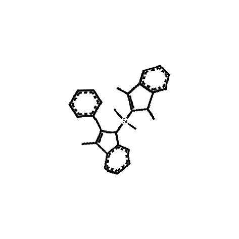 CC1=C([Si](C)(C)C2C(c3ccccc3)=C(C)c3ccccc32)C(C)c2ccccc21